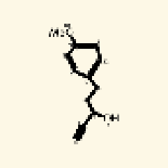 C#CC(O)CCc1ccc(OC)cc1